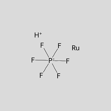 F[P-](F)(F)(F)(F)F.[H+].[Ru]